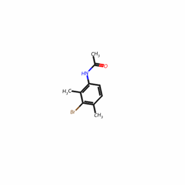 CC(=O)Nc1ccc(C)c(Br)c1C